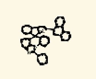 c1ccc(-c2nc3cccc4c3n2-c2ccccc2C42c3ccccc3-c3ccc(-c4cc5ccccc5c5ccccc45)cc32)cc1